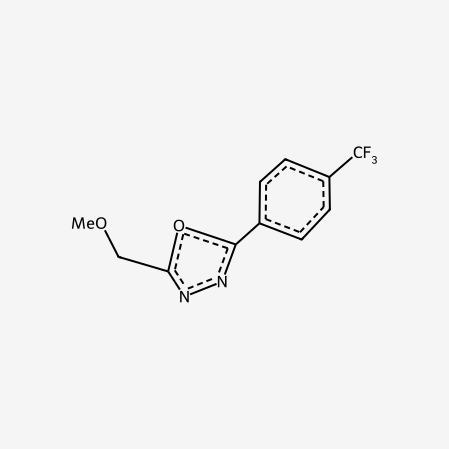 COCc1nnc(-c2ccc(C(F)(F)F)cc2)o1